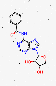 O=C(Nc1ncnc2c1ncn2[C@@H]1OC[C@H](O)[C@H]1O)c1ccccc1